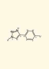 [CH2]c1ccc(-c2cn(C)nn2)cc1